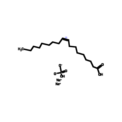 CCCCCCCC/C=C\CCCCCCCC(=O)O.O=P([O-])([O-])O.[Na+].[Na+]